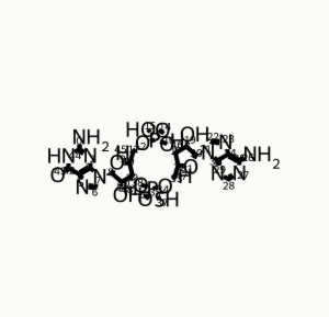 Nc1nc2c(ncn2[C@@H]2O[C@@H]3COP(=O)(O)O[C@H]4[C@@H](O)[C@H](n5cnc6c(N)ncnc65)O[C@@H]4COP(=O)(S)O[C@H]3[C@H]2O)c(=O)[nH]1